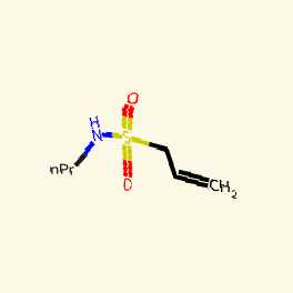 [CH2]CCNS(=O)(=O)CC=C